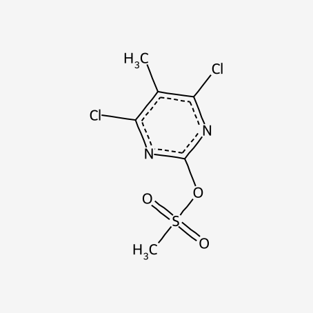 Cc1c(Cl)nc(OS(C)(=O)=O)nc1Cl